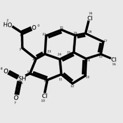 O=C(O)Cc1c([SH](=O)=O)c(Cl)c2ccc3c(Cl)cc(Cl)c4ccc1c2c34